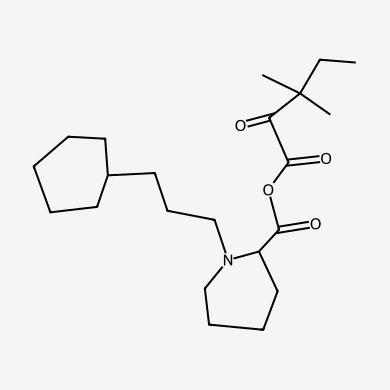 CCC(C)(C)C(=O)C(=O)OC(=O)C1CCCCN1CCCC1CCCCC1